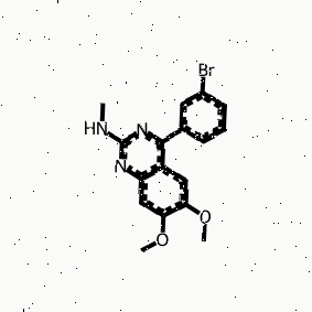 CNc1nc(-c2cccc(Br)c2)c2cc(OC)c(OC)cc2n1